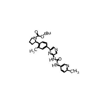 Cc1ccc(NC(=O)Nc2cncc(-c3ccc(C4CCCN4C(=O)OC(C)(C)C)c(C)c3)n2)cn1